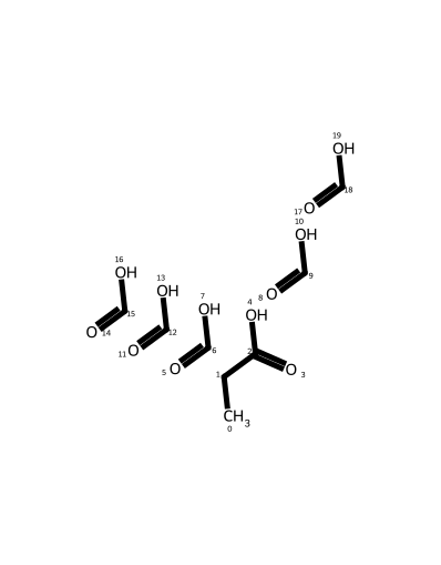 CCC(=O)O.O=CO.O=CO.O=CO.O=CO.O=CO